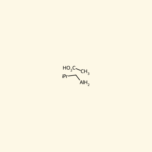 CC(=O)O.CC(C)[CH2][AlH2]